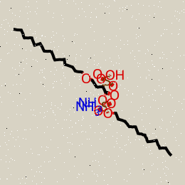 CCCCCCCCCCCCCCOC(=O)CC(C(=O)OS(=O)(=O)OCCCCCCCCCCCC)S(=O)(=O)O.N.N